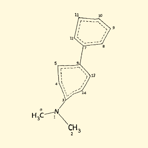 CN(C)c1ccc(-c2ccccc2)cc1